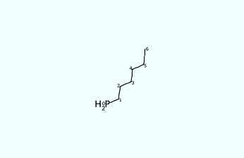 PCCCCCI